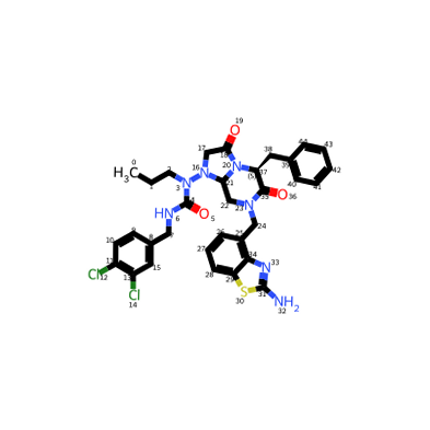 CCCN(C(=O)NCc1ccc(Cl)c(Cl)c1)N1CC(=O)N2C1CN(Cc1cccc3sc(N)nc13)C(=O)[C@@H]2Cc1ccccc1